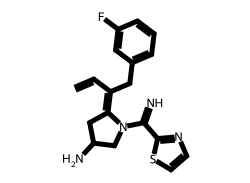 C=C/C(Cc1cccc(F)c1)=C1\CC(N)CN1C(=N)c1nccs1